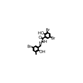 Cc1cc(Br)cc(/C=N/NC(=O)c2cc(Br)cc(Br)c2O)c1O